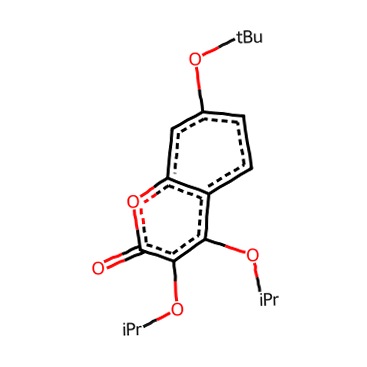 CC(C)Oc1c(OC(C)C)c2ccc(OC(C)(C)C)cc2oc1=O